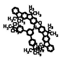 CC(C)(C)c1ccc(-c2cc(-c3ccc(C(C)(C)C)cc3)cc(N3c4cc5c(cc4Oc4cc6c(cc43)-c3cc4c(cc3C6(C)C)-c3ccccc3C4(C)C)C(C)(C)c3cc4c(cc3-5)C(C)(C)c3ccccc3-4)c2)cc1